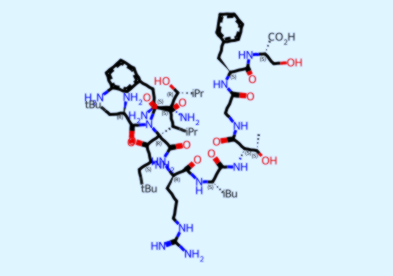 CCC(C)[C@H](NC(=O)[C@@H](CCCNC(=N)N)NC(=O)[C@](C(=O)[C@@H](N)CC(C)(C)C)(C(C(=O)[C@@H](N)Cc1cccc(N)c1)C(C)C)N(C(=O)[C@H](N)CC(C)(C)C)C(=O)[C@@H](N)[C@H](O)C(C)C)C(=O)N[C@H](C(=O)NCC(=O)N[C@@H](Cc1ccccc1)C(=O)N[C@@H](CO)C(=O)O)[C@H](C)O